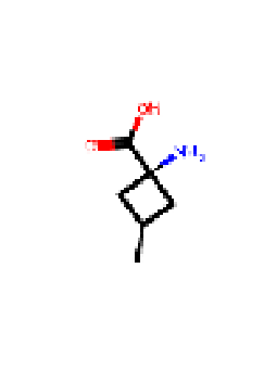 C[C@H]1C[C@](N)(C(=O)O)C1